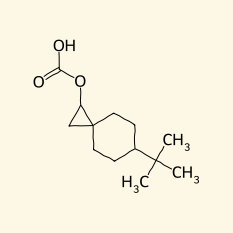 CC(C)(C)C1CCC2(CC1)CC2OC(=O)O